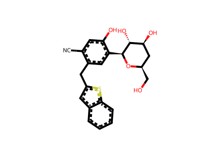 N#Cc1cc(O)c([C@@H]2O[C@H](CO)C[C@H](O)[C@H]2O)cc1Cc1cc2ccccc2s1